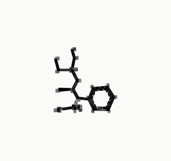 [CH2-][NH2+][C@@H](c1ccccc1)[C@@H](C)CN(CC)CC